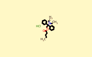 CCCCC(=O)OCC(c1ccccc1)(c1ccccc1)N(CC)CC.Cl